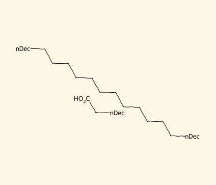 CCCCCCCCCCCC(=O)O.CCCCCCCCCCCCCCCCCCCCCCCCCCCCCCCC